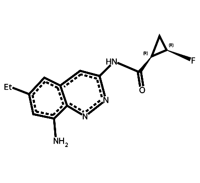 CCc1cc(N)c2nnc(NC(=O)[C@H]3C[C@H]3F)cc2c1